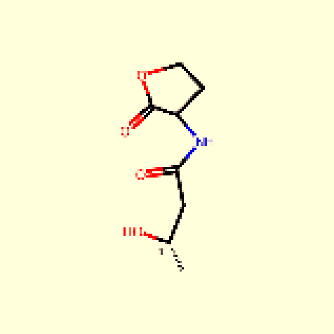 C[C@H](O)CC(=O)NC1CCOC1=O